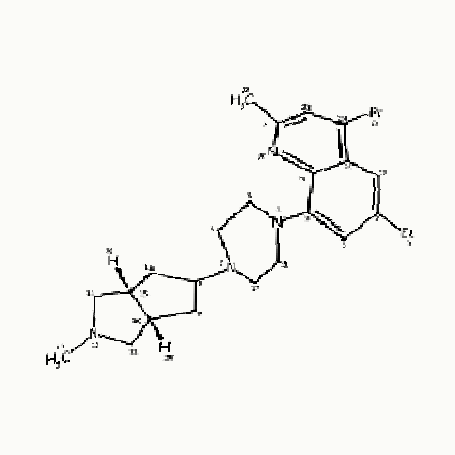 CCc1cc(N2CCN(C3C[C@@H]4CN(C)C[C@@H]4C3)CC2)c2nc(C)cc(C(C)C)c2c1